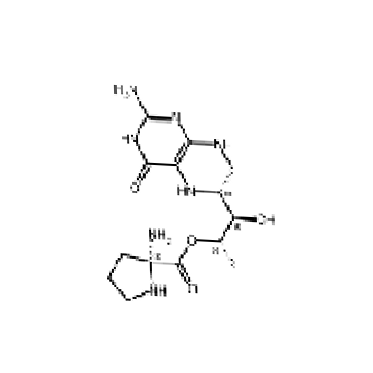 C[C@H](OC(=O)[C@]1(N)CCCN1)[C@H](O)[C@H]1CNc2nc(N)[nH]c(=O)c2N1